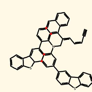 C#C/C=C\C=C(/CN(c1cccc(-c2ccc3sc4ccccc4c3c2)c1)c1ccccc1C1=CCC2Sc3ccccc3C2=C1)c1cccc2ccccc12